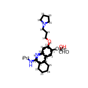 COc1cc2c3c(c(NC(C)C)nc2cc1OCCCN1CCCC1)CCCC3.O=CO